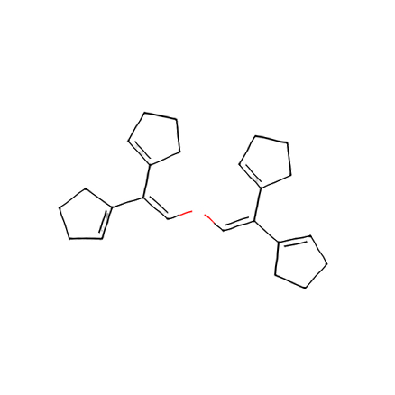 C1=C(C(=COC=C(C2=CCCC2)C2=CCCC2)C2=CCCC2)CCC1